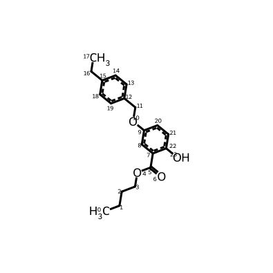 CCCCOC(=O)c1cc(OCc2ccc(CC)cc2)ccc1O